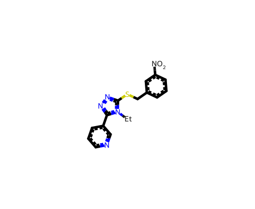 CCn1c(SCc2cccc([N+](=O)[O-])c2)nnc1-c1cccnc1